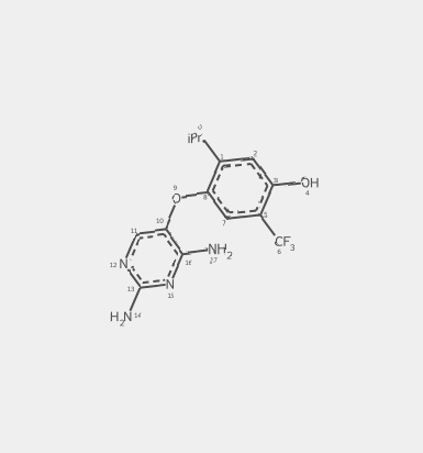 CC(C)c1cc(O)c(C(F)(F)F)cc1Oc1cnc(N)nc1N